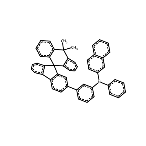 CC1(C)c2ccccc2C2(c3ccccc3-c3ccc(-c4cccc(N(c5ccccc5)c5ccc6ccccc6c5)c4)cc32)c2ccccc21